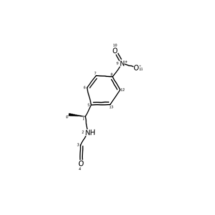 C[C@H](NC=O)c1ccc([N+](=O)[O-])cc1